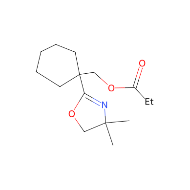 CCC(=O)OCC1(C2=NC(C)(C)CO2)CCCCC1